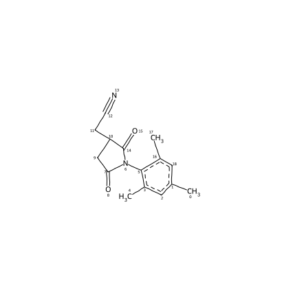 Cc1cc(C)c(N2C(=O)CC(CC#N)C2=O)c(C)c1